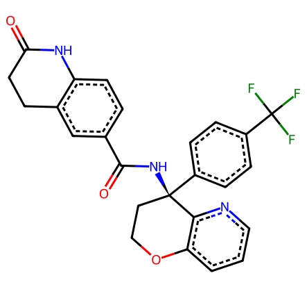 O=C1CCc2cc(C(=O)N[C@]3(c4ccc(C(F)(F)F)cc4)CCOc4cccnc43)ccc2N1